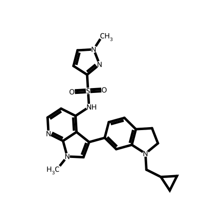 Cn1ccc(S(=O)(=O)Nc2ccnc3c2c(-c2ccc4c(c2)N(CC2CC2)CC4)cn3C)n1